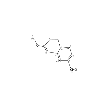 CC(C)Oc1ccc2ccc(C=O)nc2c1